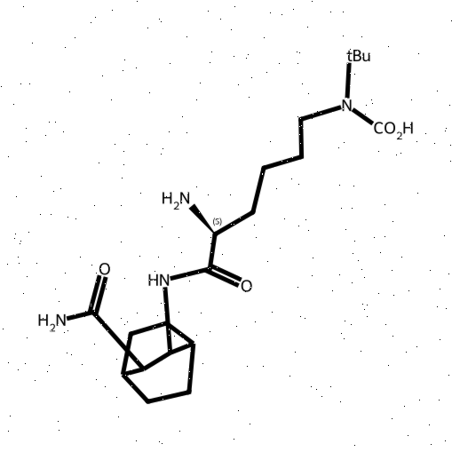 CC(C)(C)N(CCCC[C@H](N)C(=O)NC1C2CCC(CC2)C1C(N)=O)C(=O)O